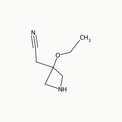 CCOC1(CC#N)CNC1